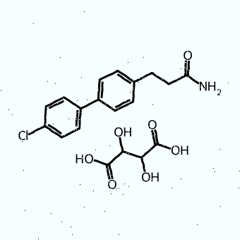 NC(=O)CCc1ccc(-c2ccc(Cl)cc2)cc1.O=C(O)C(O)C(O)C(=O)O